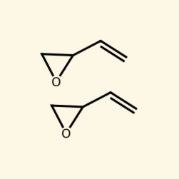 C=CC1CO1.C=CC1CO1